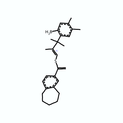 Bc1cc(C)c(C)cc1C(C)(C)/C(C)=C/SC(=C)c1ccc2c(c1)CCCCC2